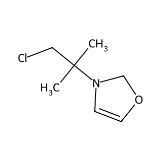 CC(C)(CCl)N1C=COC1